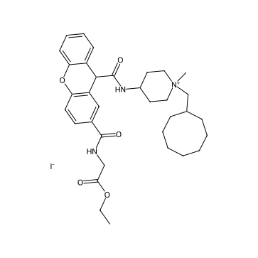 CCOC(=O)CNC(=O)c1ccc2c(c1)C(C(=O)NC1CC[N+](C)(CC3CCCCCCC3)CC1)c1ccccc1O2.[I-]